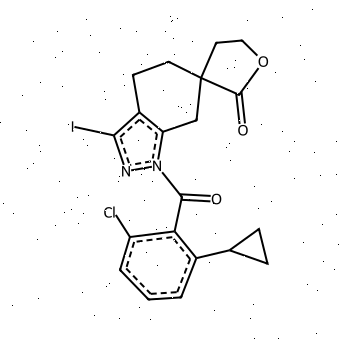 O=C(c1c(Cl)cccc1C1CC1)n1nc(I)c2c1CC1(CCOC1=O)CC2